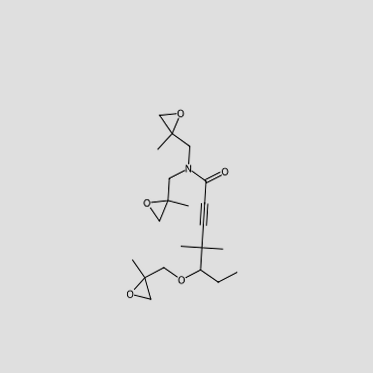 CCC(OCC1(C)CO1)C(C)(C)C#CC(=O)N(CC1(C)CO1)CC1(C)CO1